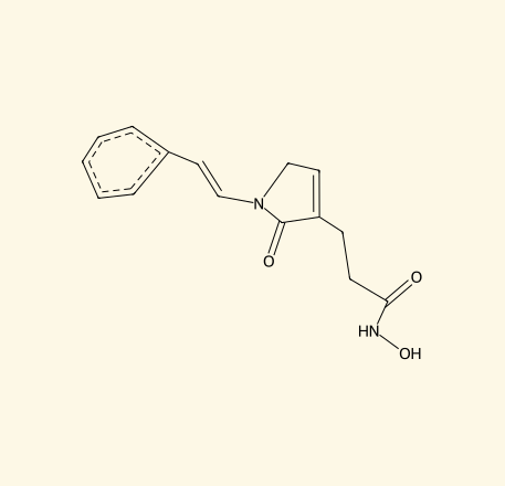 O=C(CCC1=CCN(C=Cc2ccccc2)C1=O)NO